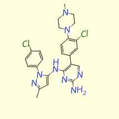 Cc1cc(Nc2nc(N)ncc2-c2ccc(N3CCN(C)CC3)c(Cl)c2)n(-c2ccc(Cl)cc2)n1